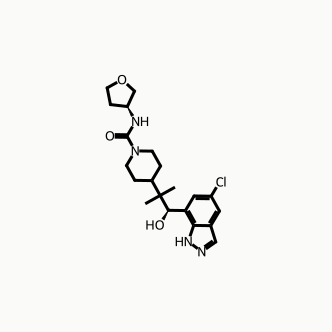 CC(C)(C1CCN(C(=O)N[C@H]2CCOC2)CC1)[C@H](O)c1cc(Cl)cc2cn[nH]c12